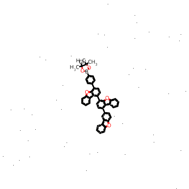 CC1(C)OB(c2ccc(-c3ccc(-c4ccc(-c5ccc6oc7ccccc7c6c5)c5c4oc4ccccc45)c4c3oc3ccccc34)cc2)OC1(C)C